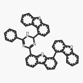 c1ccc(C2=NC(c3cccc4c3oc3c(-c5cccc6oc7ccccc7c56)cccc34)=NC(c3cccc4sc5ccccc5c34)N2)cc1